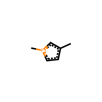 Cc1[c]p(C)cc1